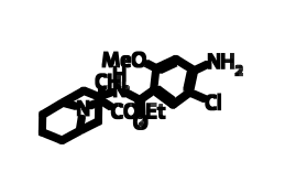 CCOC(=O)C(C)N1C2CCCC1CC(NC(=O)c1cc(Cl)c(N)cc1OC)C2